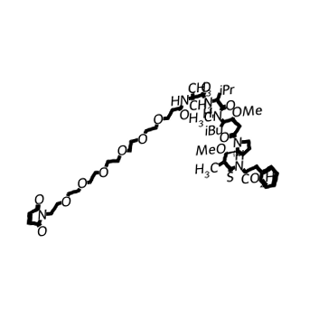 CCC(C)C(C(CC(=O)N1CCC[C@H]1C(OC)C(C)C(=S)NC(Cc1ccccc1)C(=O)O)OC)N(C)C(=O)C(NC(=O)C(C)(C)NC(=O)CCOCCOCCOCCOCCOCCOCCN1C(=O)C=CC1=O)C(C)C